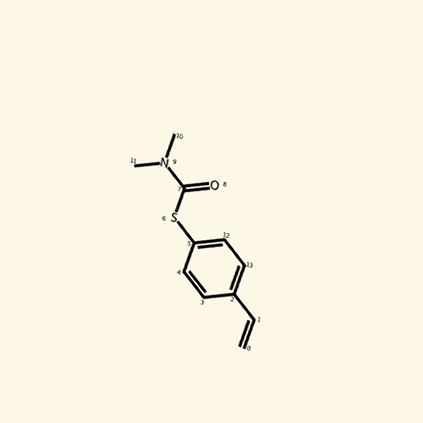 C=Cc1ccc(SC(=O)N(C)C)cc1